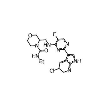 CCNC(=O)N1CCOCC1CNc1nc(-c2c[nH]c3c2=CC(Cl)CN=3)ncc1F